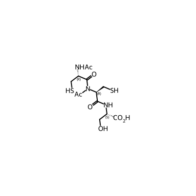 CC(=O)N[C@@H](CS)C(=O)N(C(C)=O)[C@@H](CS)C(=O)N[C@@H](CO)C(=O)O